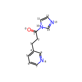 O=C(CCc1cccnc1)n1ccnc1